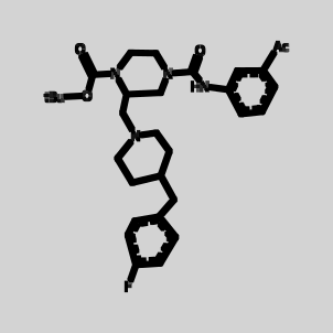 CC(=O)c1cccc(NC(=O)N2CCN(C(=O)OC(C)(C)C)C(CN3CCC(Cc4ccc(F)cc4)CC3)C2)c1